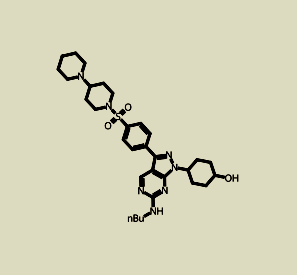 CCCCNc1ncc2c(-c3ccc(S(=O)(=O)N4CCC(N5CCCCC5)CC4)cc3)nn(C3CCC(O)CC3)c2n1